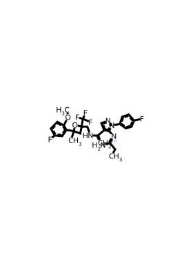 C=C(NCC1(C(F)(F)F)CC(C)(c2cc(F)ccc2OC)O1)c1cnn(-c2ccc(F)cc2)c1/N=C(\N)CC